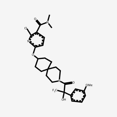 COc1cccc(C(O)(C(=O)N2CCC3(CCC(Oc4ccc(C(=O)N(C)C)c(Cl)n4)CC3)CC2)C(F)(F)F)c1